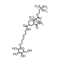 CCC(CC(CC(C)(C)C(=O)OCC[N+](C)(C)C)C(N)=O)C(=O)NCCSCCCO[C@H]1OC(CO)[C@@H](O)[C@H](O)C1O